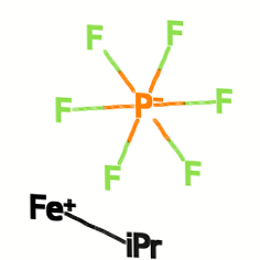 C[CH](C)[Fe+].F[P-](F)(F)(F)(F)F